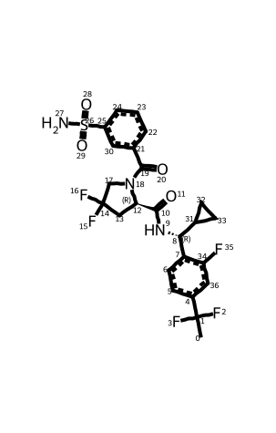 CC(F)(F)c1ccc([C@H](NC(=O)[C@H]2CC(F)(F)CN2C(=O)c2cccc(S(N)(=O)=O)c2)C2CC2)c(F)c1